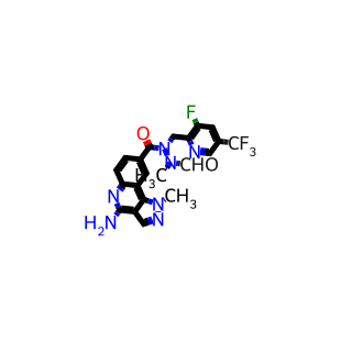 CN(C=O)N(Cc1ncc(C(F)(F)F)cc1F)C(=O)c1ccc2nc(N)c3cnn(C)c3c2c1